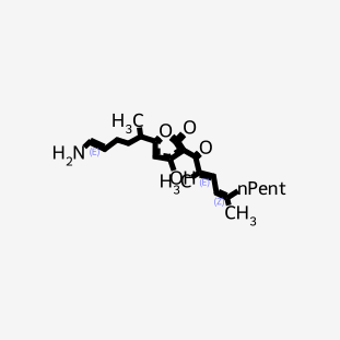 CCCCC/C(C)=C\C=C(/C)C(=O)c1c(O)cc(C(C)CC/C=C/N)oc1=O